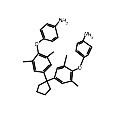 Cc1cc(C2(c3cc(C)c(Oc4ccc(N)cc4)c(C)c3)CCCC2)cc(C)c1Oc1ccc(N)cc1